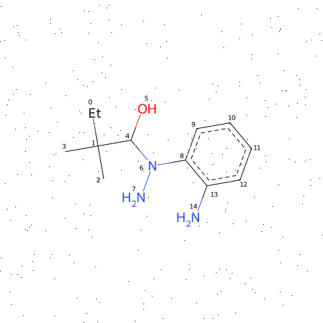 CCC(C)(C)C(O)N(N)c1ccccc1N